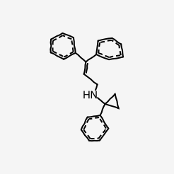 C(CNC1(c2ccccc2)CC1)=C(c1ccccc1)c1ccccc1